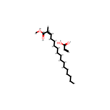 C=CC(=O)O.CCCCCCCCCCCCCCC=C(C)C(=O)OC